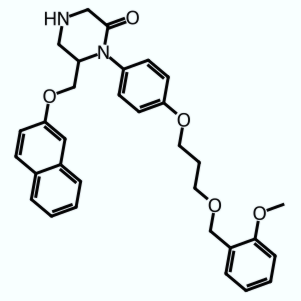 COc1ccccc1COCCCOc1ccc(N2C(=O)CNCC2COc2ccc3ccccc3c2)cc1